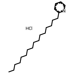 CCCCCCCCCCCCCCCCc1ccccn1.Cl